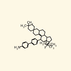 CC1(C)CCC2(CCC3=C4C(c5ccc(-c6ccc(N)cc6)cc5)CC5(C)C(CC[C@@]5(C)C(C)(F)C(F)(F)F)C4CCC3C2)CC1